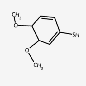 COC1C=CC(S)=CC1OC